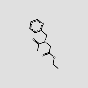 CCOC(=O)CN(Cc1ccccn1)C(C)=O